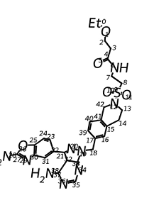 CCOCCC(=O)NCCS(=O)(=O)N1CCc2cc(CN3N=C(c4ccc5oc(N)nc5c4)C4C3=NC=NC4N)ccc2C1